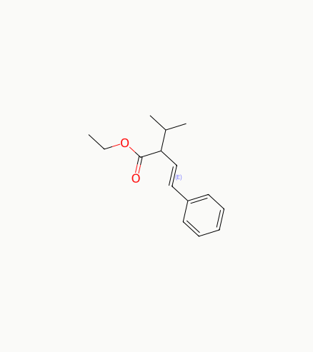 CCOC(=O)C(/C=C/c1ccccc1)C(C)C